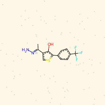 C/C(=N\N)c1csc(-c2ccc(C(F)(F)F)cc2)c1O